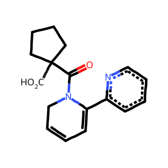 O=C(O)C1(C(=O)N2CC=CC=C2c2ccccn2)CCCC1